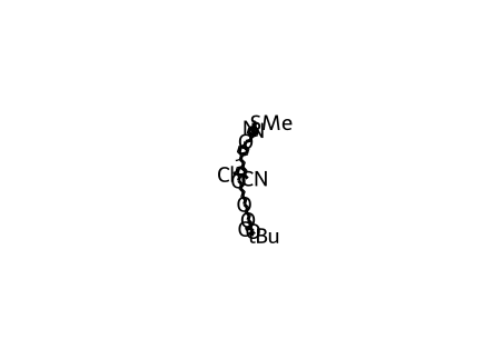 CSc1ncc(COc2ccc([C@H](C)Cc3cc(Cl)c(OCCCCCOCCCOCC(=O)OC(C)(C)C)c(C#N)c3)cc2)cn1